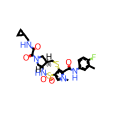 Cc1cc(NC(=O)c2c3c(cn2C)S(=O)(=O)N[C@H]2CN(C(=O)C(=O)NCC4CC4)C[C@H]2CS3)ccc1F